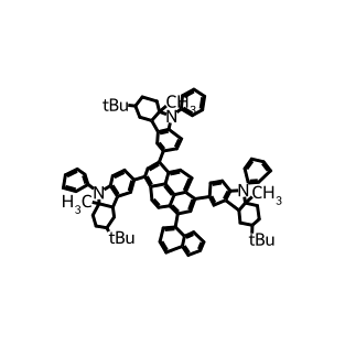 CC(C)(C)C1CCC2(C)C(C1)c1cc(-c3cc(-c4ccc5c(c4)C4CC(C(C)(C)C)CCC4(C)N5c4ccccc4)c4ccc5c(-c6cccc7ccccc67)cc(-c6ccc7c(c6)C6CC(C(C)(C)C)CCC6(C)N7c6ccccc6)c6ccc3c4c65)ccc1N2c1ccccc1